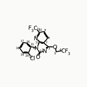 O=c1nc(OCC(F)(F)F)c2ccc(C(F)(F)F)nc2n1-c1ccccc1Cl